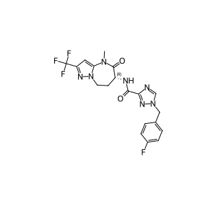 CN1C(=O)[C@H](NC(=O)c2ncn(Cc3ccc(F)cc3)n2)CCn2nc(C(F)(F)F)cc21